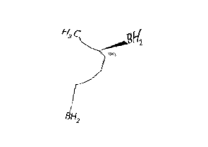 BCC[C@H](B)C